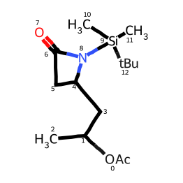 CC(=O)OC(C)CC1CC(=O)N1[Si](C)(C)C(C)(C)C